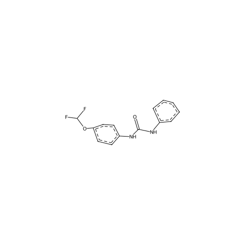 O=C(Nc1ccccc1)Nc1ccc(OC(F)F)cc1